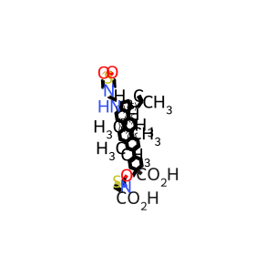 C=C(C)C[C@@H]1CC[C@]2(NCCN3CCS(=O)(=O)CC3)CC[C@]3(C)[C@H](CCC4[C@@]5(C)CC=C(C6=CCC(COc7nc(C(=O)O)cs7)(C(=O)O)CC6)C(C)(C)C5CC[C@]43C)C12